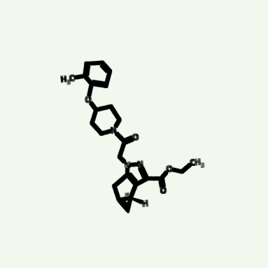 CCOC(=O)c1nn(CC(=O)N2CCC(Oc3ccccc3C)CC2)c2c1[C@@H]1C=C1C2